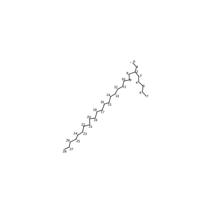 [CH2]CC(CCCCC)CCCCCCCCCCCCCCCCCCCCC